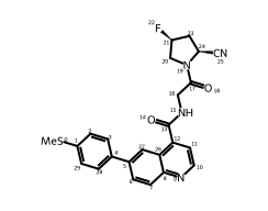 CSc1ccc(-c2ccc3nccc(C(=O)NCC(=O)N4C[C@@H](F)C[C@H]4C#N)c3c2)cc1